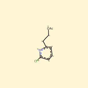 CC(=O)OCCc1cccc(Cl)n1